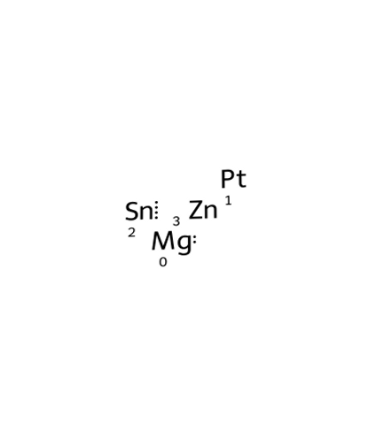 [Mg].[Pt].[Sn].[Zn]